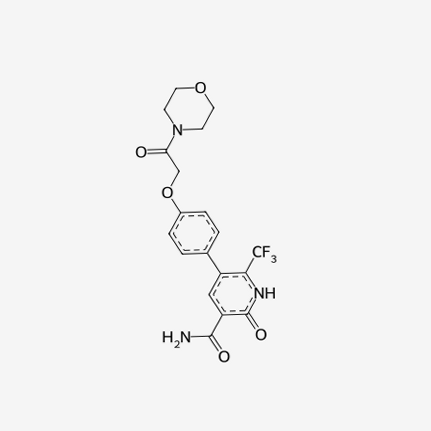 NC(=O)c1cc(-c2ccc(OCC(=O)N3CCOCC3)cc2)c(C(F)(F)F)[nH]c1=O